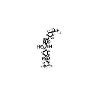 C[C@@H]1C[C@H](C)CN(S(=O)(=O)c2ccc(C(O)Nc3nnc(-c4ccc(OC(F)(F)F)cc4)o3)cc2)C1